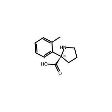 Cc1ccccc1[C@@]1(C(=O)O)CCCN1